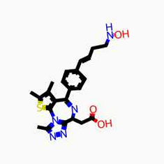 Cc1sc2c(c1C)C(c1ccc(/C=C/CCNO)cc1)=NC(CC(=O)O)c1nnc(C)n1-2